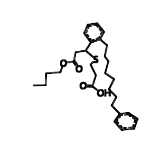 CCCCOC(=O)CC(SCCC(=O)O)c1ccccc1CCCCCCCCc1ccccc1